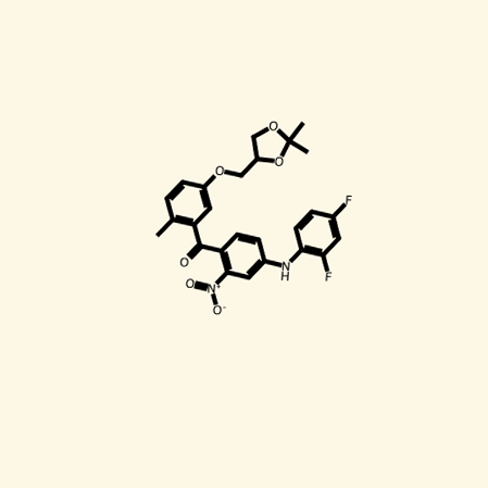 Cc1ccc(OCC2COC(C)(C)O2)cc1C(=O)c1ccc(Nc2ccc(F)cc2F)cc1[N+](=O)[O-]